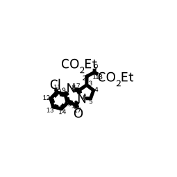 CCOC(=O)C(CC1CCn2c1nc1c(Cl)cccc1c2=O)C(=O)OCC